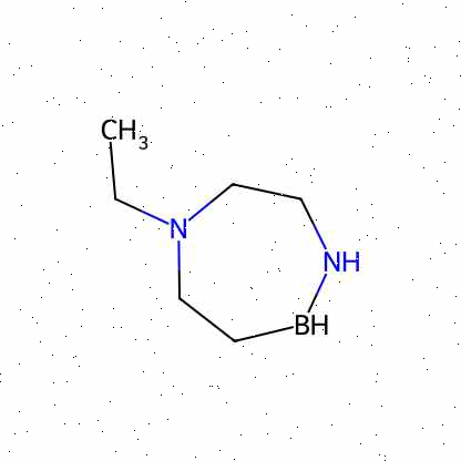 CCN1CCBNCC1